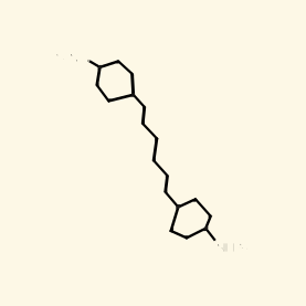 CC(=O)NC1CCC(CCCCCCC2CCC(NC(C)=O)CC2)CC1